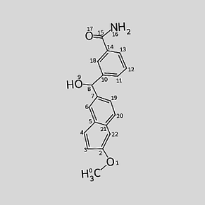 COc1ccc2cc(C(O)c3cccc(C(N)=O)c3)ccc2c1